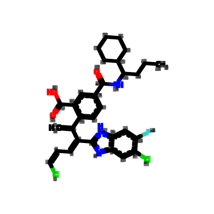 C=C(/C(=C\C=C/Cl)c1nc2cc(Cl)c(F)cc2[nH]1)c1ccc(C(=O)NC(CCC)C2CCCCC2)cc1C(=O)O